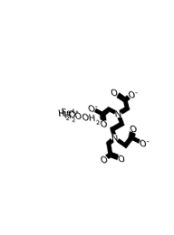 O.O.O.O=C([O-])CN(CCN(CC(=O)[O-])CC(=O)[O-])CC(=O)[O-].[Fe+4]